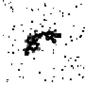 C[C@H](CCC1=C[C@@](C)(O)C(=O)O1)[C@H]1CCC2C(=CBr)CCC[C@]21C